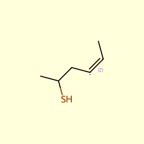 C/C=[C]\CC(C)S